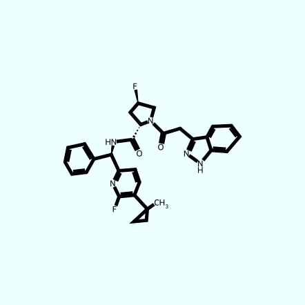 CC1(c2ccc([C@H](NC(=O)[C@@H]3C[C@@H](F)CN3C(=O)Cc3n[nH]c4ccccc34)c3ccccc3)nc2F)CC1